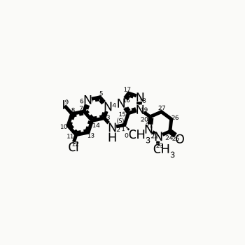 C[C@H](Nc1ncnc2c(I)cc(Cl)cc12)c1ncnn1C1=NN(C)C(=O)CC1